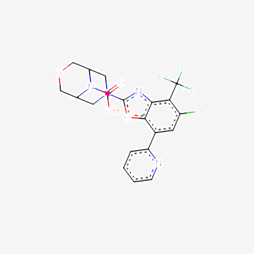 O=C(O)N1C2COCC1CN(c1nc3c(C(F)(F)F)c(Cl)cc(-c4ccccn4)c3o1)C2